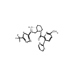 Cc1ccc(-c2ncccn2)c(C(=O)N2CCC[C@@H](C)C2CNc2nnc(C(F)(F)F)s2)n1